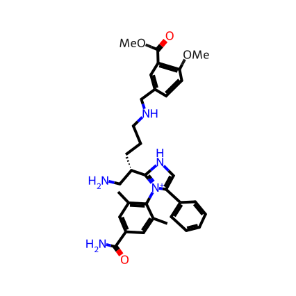 COC(=O)c1cc(CNCCC[C@@H](CN)c2[nH]cc(-c3ccccc3)[n+]2-c2c(C)cc(C(N)=O)cc2C)ccc1OC